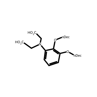 CCCCCCCCCCOc1cccc(N(CC(=O)O)CC(=O)O)c1OCCCCCCCCCC